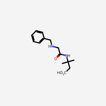 CC(C)(CC(=O)O)NC(=O)CNCc1ccccc1